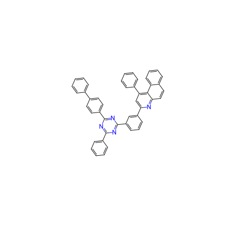 c1ccc(-c2ccc(-c3nc(-c4ccccc4)nc(-c4cccc(-c5cc(-c6ccccc6)c6c(ccc7ccccc76)n5)c4)n3)cc2)cc1